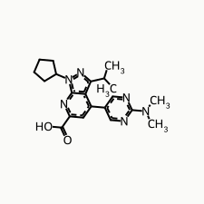 CC(C)c1nn(C2CCCC2)c2nc(C(=O)O)cc(-c3cnc(N(C)C)nc3)c12